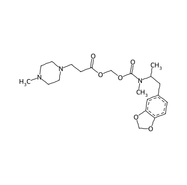 CC(Cc1ccc2c(c1)OCO2)N(C)C(=O)OCOC(=O)CCN1CCN(C)CC1